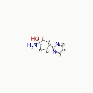 NC1(O)CCC(c2ncccn2)CC1